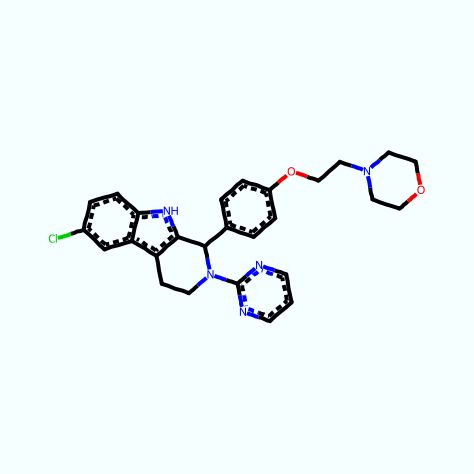 Clc1ccc2[nH]c3c(c2c1)CCN(c1ncccn1)C3c1ccc(OCCN2CCOCC2)cc1